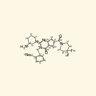 N#Cc1ccccc1Cn1c(N2CCCC(N)C2)nc2cc(C(=O)N3CCC(F)(F)CC3)sc2c1=O